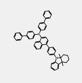 CC12CCCCC1(C)N(c1ccc(-c3ccc(N(c4ccc(-c5ccccc5)cc4)c4ccc(-c5ccccc5)cc4)c4ccccc34)cc1)c1ccccc12